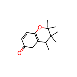 CC1C2=C(C=CC(=O)C2)OC(C)(C)C1(C)C